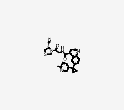 Cc1ccc(C2(c3ccc4nccc(C(=O)NCC(=O)N5CSC[C@H]5C#N)c4c3)CC2)cn1